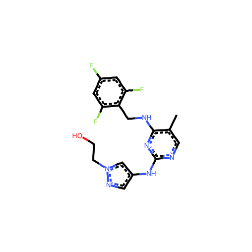 Cc1cnc(Nc2cnn(CCO)c2)nc1NCc1c(F)cc(F)cc1F